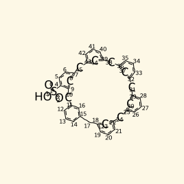 O=S(=O)(O)c1ccc2cc1Cc1cccc(c1)Cc1cccc(c1)Cc1cccc(c1)Cc1cccc(c1)Cc1cccc(c1)C2